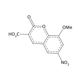 COc1cc([N+](=O)[O-])cc2cc(C(=O)O)c(=O)oc12